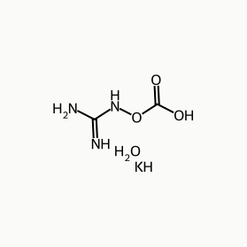 N=C(N)NOC(=O)O.O.[KH]